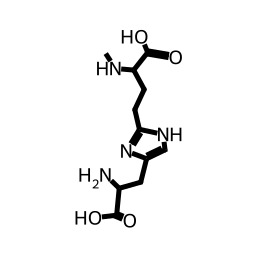 CNC(CCc1nc(CC(N)C(=O)O)c[nH]1)C(=O)O